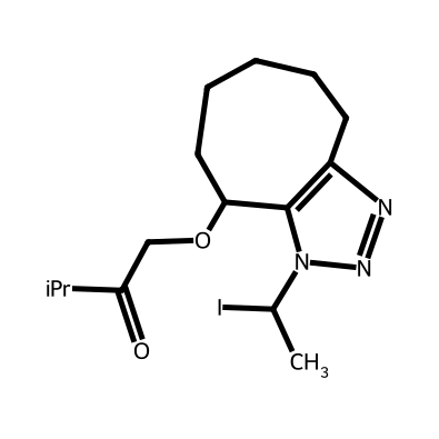 CC(C)C(=O)COC1CCCCCc2nnn(C(C)I)c21